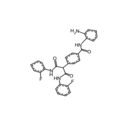 Nc1ccccc1NC(=O)c1ccc(C(C(=O)Nc2ccccc2F)C(=O)Nc2ccccc2F)cc1